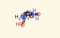 COc1cc(/C(F)=C/c2cccc(-c3cccc(NC(=O)c4nc5c(n4C)CCN(CC4CCC(C(=O)O)CC4)C5)c3C)c2C)ncc1CNC[C@@H]1CCC(=O)N1